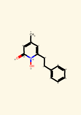 Cc1cc(CCc2ccccc2)n(O)c(=O)c1